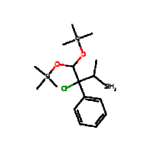 CC([SiH3])C(Cl)(c1ccccc1)C(O[Si](C)(C)C)O[Si](C)(C)C